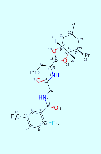 CC(C)C[C@H](NC(=O)CNC(=O)c1cc(C(F)(F)F)ccc1F)B1O[C@@H]2CC(C)C[C@@H](C(C)C)[C@]2(C)O1